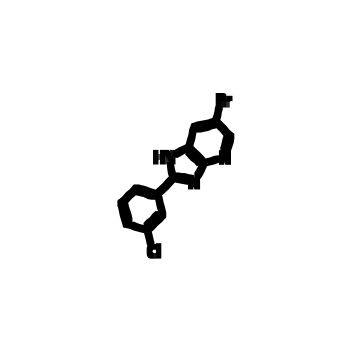 Clc1cccc(-c2nc3ncc(Br)cc3[nH]2)c1